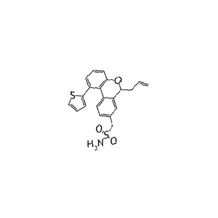 C=CCC1Oc2cccc(-c3cccs3)c2-c2ccc(CS(N)(=O)=O)cc21